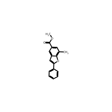 COC(=O)c1cc(C)c2oc(-c3ccccc3)cc2c1